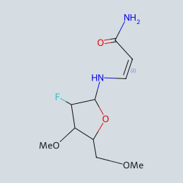 COCC1OC(N/C=C\C(N)=O)C(F)C1OC